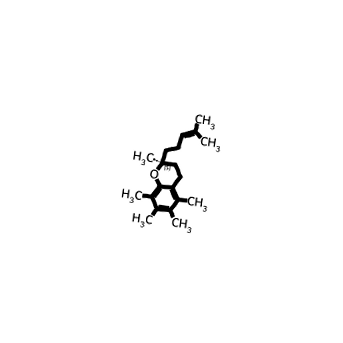 CC(C)=CCC[C@@]1(C)CCc2c(C)c(C)c(C)c(C)c2O1